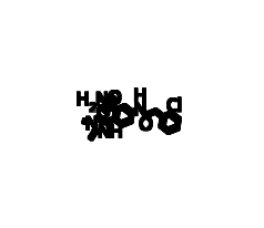 CC1NC(c2ccc(NC(=O)Cc3ccccc3Cl)cc2S(N)(=O)=O)=CN1C